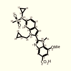 COc1cc(C(=O)O)cc2nc(-c3cc4ccc(N(C5CC5)S(C)(=O)=O)nc4n3CC3CC3)n(C)c12